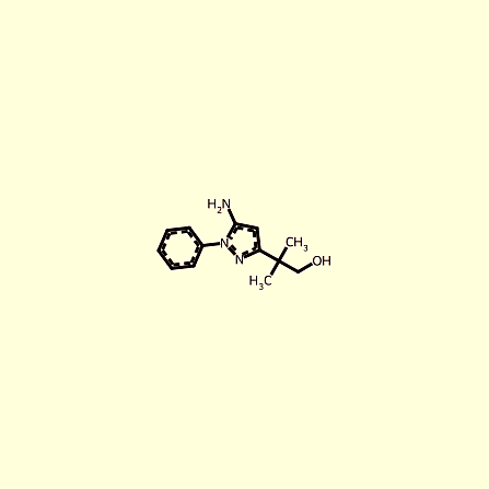 CC(C)(CO)c1cc(N)n(-c2ccccc2)n1